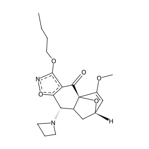 CCCCOc1noc2c1C(=O)[C@]13O[C@H](C=C1OC)CC3[C@@H]2N1CCC1